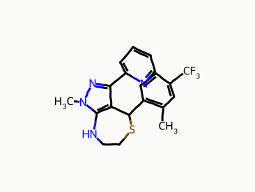 Cc1cc(C(F)(F)F)ccc1C1SCCNc2c1c(-c1ccccn1)nn2C